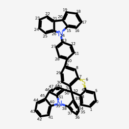 c1ccc2c(c1)Sc1cc(-c3ccc(-n4c5ccccc5c5ccccc54)cc3)ccc1C21c2ccccc2-n2c3ccccc3c3cccc1c32